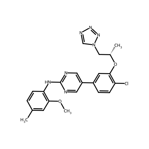 COc1cc(C)ccc1Nc1ncc(-c2ccc(Cl)c(O[C@@H](C)Cn3cnnn3)c2)cn1